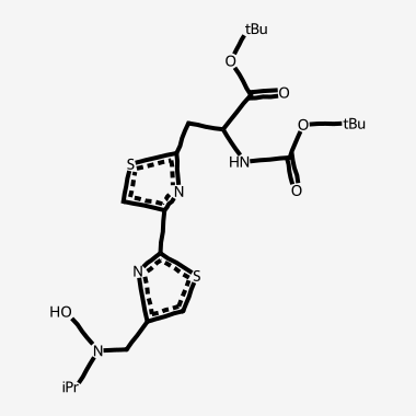 CC(C)N(O)Cc1csc(-c2csc(CC(NC(=O)OC(C)(C)C)C(=O)OC(C)(C)C)n2)n1